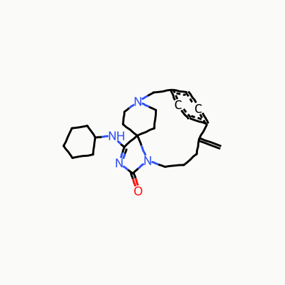 C=C1CCCN2C(=O)N=C(NC3CCCCC3)C23CCN(CC3)Cc2ccc1cc2